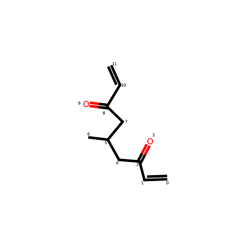 C=CC(=O)CC(C)CC(=O)C=C